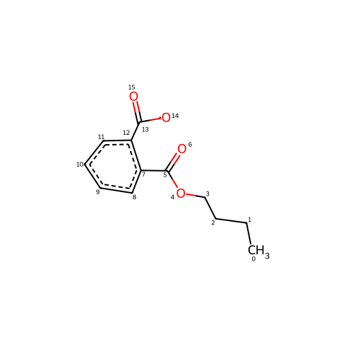 CCCCOC(=O)c1ccccc1C([O])=O